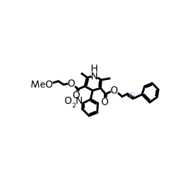 COCCOC(=O)C1=C(C)NC(C)=C(C(=O)OC/C=C/c2ccccc2)C1c1ccccc1[N+](=O)[O-]